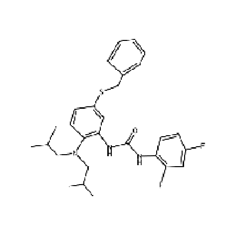 CC(C)CN(CC(C)C)c1ccc(SCc2ccccc2)cc1NC(=O)Nc1ccc(F)cc1F